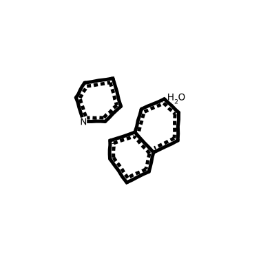 O.c1ccc2ccccc2c1.c1ccncc1